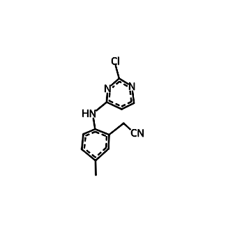 Cc1ccc(Nc2ccnc(Cl)n2)c(CC#N)c1